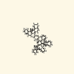 C1=C(c2c3ccc4ccccc4c3nc3c2ccc2ccccc23)CCC(c2cc(-c3nc4ccccc4n3-c3ccccc3)cc(-c3nc4ccccc4n3-c3ccccc3)c2)C1